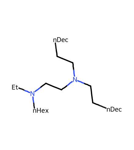 CCCCCCCCCCCCN(CCCCCCCCCCCC)CCN(CC)CCCCCC